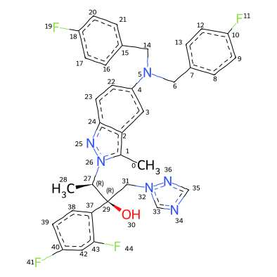 Cc1c2cc(N(Cc3ccc(F)cc3)Cc3ccc(F)cc3)ccc2nn1[C@H](C)[C@](O)(Cn1cncn1)c1ccc(F)cc1F